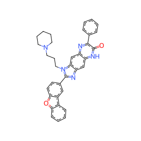 O=c1[nH]c2cc3nc(-c4ccc5oc6ccccc6c5c4)n(CCCN4CCCCC4)c3cc2nc1-c1ccccc1